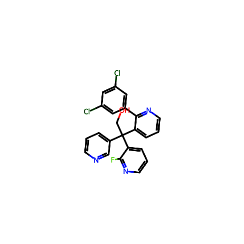 OCC(c1cccnc1)(c1cccnc1F)c1cccnc1-c1cc(Cl)cc(Cl)c1